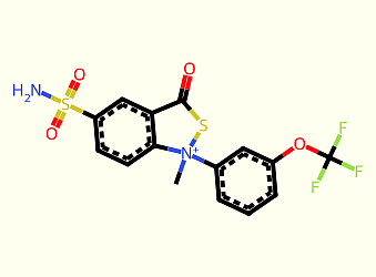 C[N+]1(c2cccc(OC(F)(F)F)c2)SC(=O)c2cc(S(N)(=O)=O)ccc21